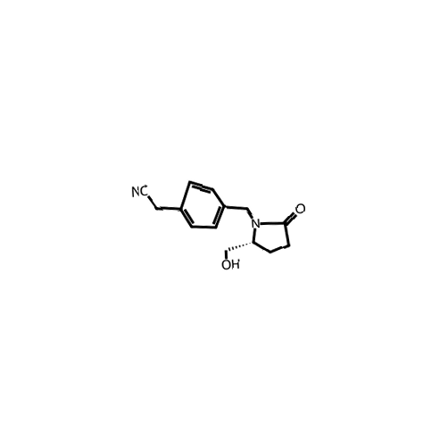 N#CCc1ccc(CN2C(=O)CC[C@@H]2CO)cc1